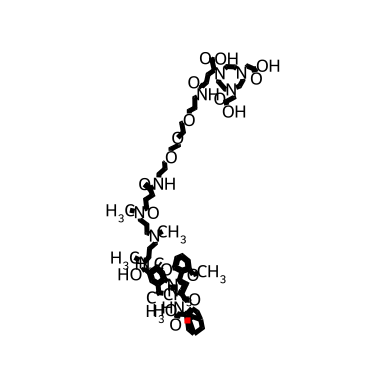 COc1cccc(OC)c1-c1cc(C(=O)NC2(C(=O)O)C3CC4CC(C3)CC2C4)nn1-c1ccc(C(O)N(C)CCCN(C)CCCN(C)C(=O)CCC(=O)NCCCOCCOCCOCCCNC(=O)CCC(C(=O)O)N2CCN(CC(=O)O)CCN(CC(=O)O)CC2)cc1C(C)C